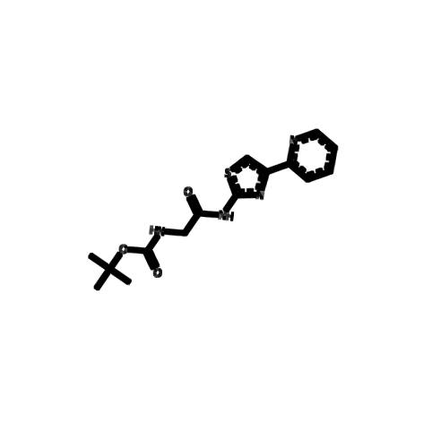 CC(C)(C)OC(=O)NCC(=O)Nc1nc(-c2ccccn2)cs1